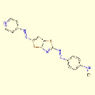 CCNc1ccc(N=NC2=NC3SC(N=Nc4ccncc4)=CC3S2)cc1